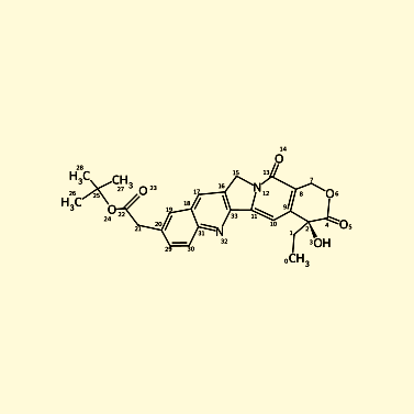 CC[C@@]1(O)C(=O)OCc2c1cc1n(c2=O)Cc2cc3cc(CC(=O)OC(C)(C)C)ccc3nc2-1